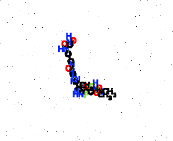 CCN(C)S(=O)(=O)Nc1ccc(F)c(C(=O)c2c[nH]c3ncc(-c4cnc(N5CCN(C(=O)CN6CCC(c7ccc(NC8CCC(=O)NC8=O)cc7)CC6)CC5)nc4)c(C)c23)c1F